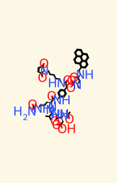 CC(=O)N[C@@H](CC(=O)O)C(=O)N[C@H](/N=N/[C@@H](CCCNC(N)=O)C(=O)Nc1ccc([C@@H](OC(=O)N(C)CC(=O)NCc2ccc3ccc4cccc5ccc2c3c45)C(=O)NCCCCCN2C(=O)C=CC2=O)cc1)C(C)C